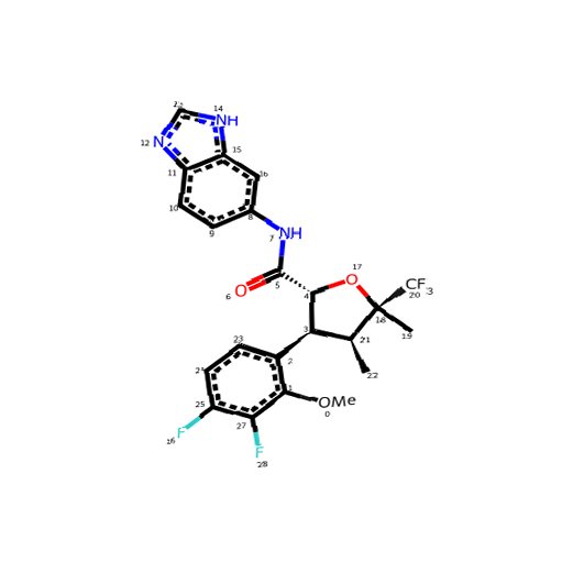 COc1c([C@H]2[C@H](C(=O)Nc3ccc4nc[nH]c4c3)O[C@@](C)(C(F)(F)F)[C@H]2C)ccc(F)c1F